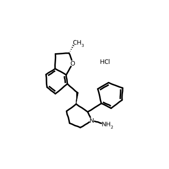 C[C@H]1Cc2cccc(C[C@@H]3CCCN(N)C3c3ccccc3)c2O1.Cl